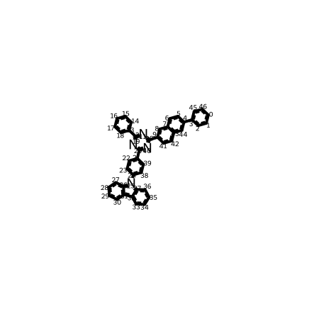 c1ccc(-c2ccc3cc(-c4nc(-c5ccccc5)nc(-c5ccc(-n6c7ccccc7c7ccccc76)cc5)n4)ccc3c2)cc1